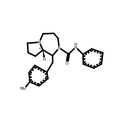 CC(C)(C)c1ccc(CC2[C@@H]3CCCN3CCCN2C(=O)Nc2ccccc2)cc1